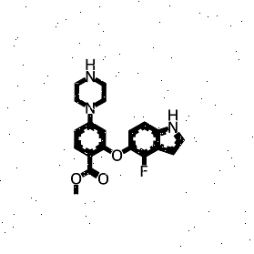 COC(=O)c1ccc(N2CCNCC2)cc1Oc1ccc2[nH]ccc2c1F